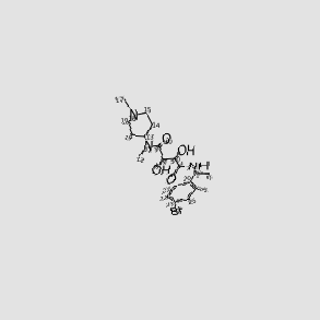 C[C@H](NC(=O)[C@H](O)[C@@H](O)C(=O)N(C)C1CCN(C)CC1)c1ccc(Br)cc1